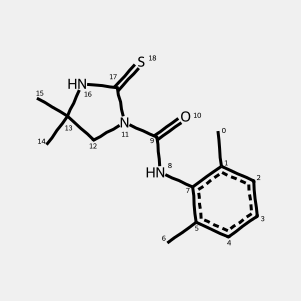 Cc1cccc(C)c1NC(=O)N1CC(C)(C)NC1=S